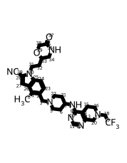 Cc1c(CN2CCC(Nc3ncnc4c3CCN(CC(F)(F)F)C4)CC2)ccc2c1cc(C#N)n2CCC1CNC(=O)CO1